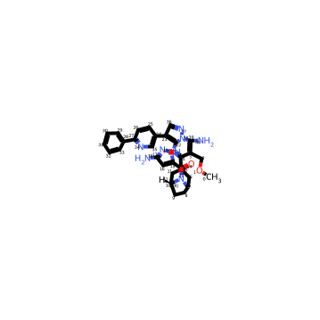 COCc1c(C2CC3CC[C@H](C2)N3C(=O)c2cc(N)n[nH]2)nc2c(-c3ccc(-c4ccccc4)nc3)cnn2c1N